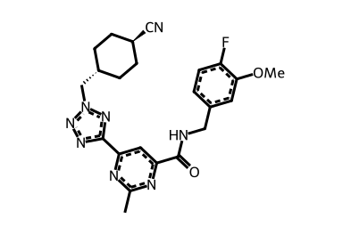 COc1cc(CNC(=O)c2cc(-c3nnn(C[C@H]4CC[C@H](C#N)CC4)n3)nc(C)n2)ccc1F